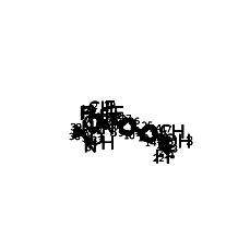 CC(C)(F)C[C@H](N[C@@H](c1ccc(-c2ccc([C@@](C)(O)CC(F)(F)F)cc2)cc1)C(F)(F)F)C(=O)NC1(C#N)CC1